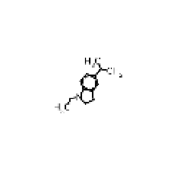 CCN1CCc2cc(C(C)C)ccc21